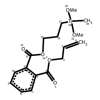 C=CCOC(=O)c1ccccc1C(=O)OCC[CH2][Ti]([CH3])([O]C)[O]C